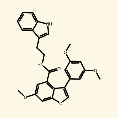 COc1cc(OC)cc(-c2coc3cc(OC)cc(C(=O)NCCc4c[nH]c5ccccc45)c23)c1